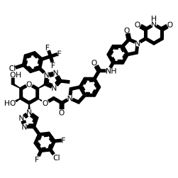 Cc1nc([C@@H]2O[C@H](CO)[C@H](O)[C@H](n3cc(-c4cc(F)c(Cl)c(F)c4)nn3)[C@H]2OCC(=O)N2Cc3ccc(C(=O)Nc4ccc5c(c4)CN(C4CCC(=O)NC4=O)C5=O)cc3C2)n(-c2cc(Cl)ccc2C(F)(F)F)n1